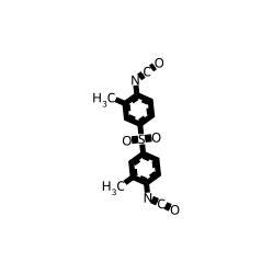 Cc1cc(S(=O)(=O)c2ccc(N=C=O)c(C)c2)ccc1N=C=O